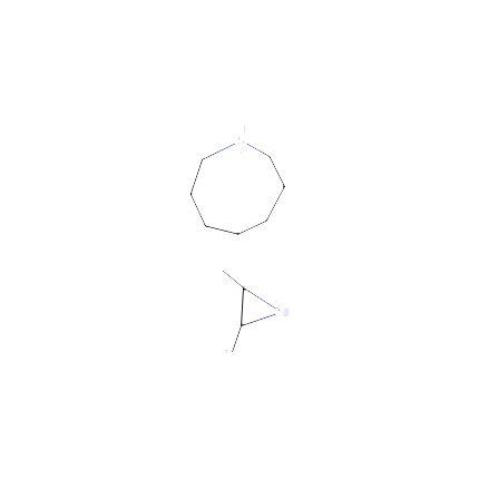 C1CCCNCCC1.CC1NC1C